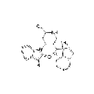 C[N+]1(C(C#N)C2CNC(Cl)CC2n2c(=O)[nH]c3ccccc32)C=Cc2ccccc21